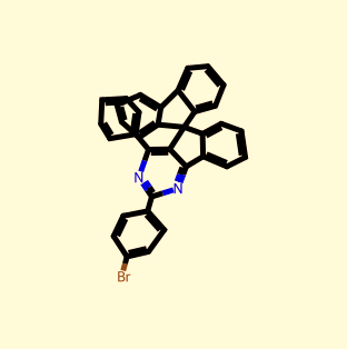 Brc1ccc(-c2nc(-c3ccccc3)c3c(n2)-c2ccccc2C32c3ccccc3-c3ccccc32)cc1